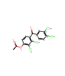 CC(=O)Oc1ccc(C(=O)c2ccc(Cl)c(Cl)c2)c(Cl)c1Cl